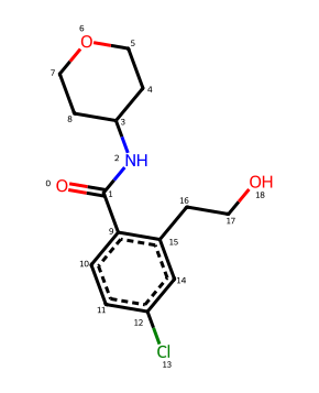 O=C(NC1CCOCC1)c1ccc(Cl)cc1CCO